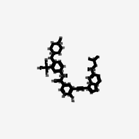 CC(C)CNc1ccc2ncc(C#Cc3cc(C(=O)Nc4ccc(CN5CCN(C)CC5)c(C(F)(F)F)c4)cnc3F)n2n1